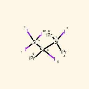 CC(C)[Si](I)(C(C)C)[Si](I)(C(C)C)[Si](I)(I)I